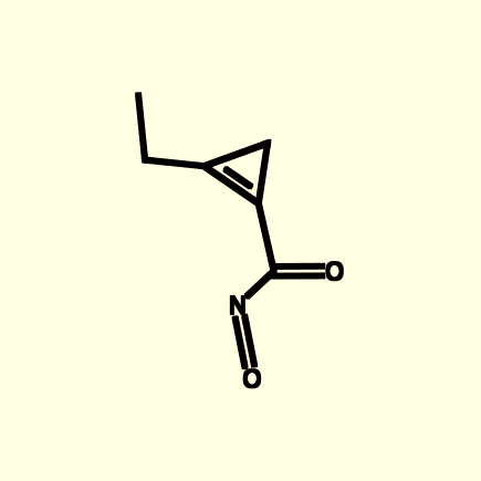 CCC1=C(C(=O)N=O)C1